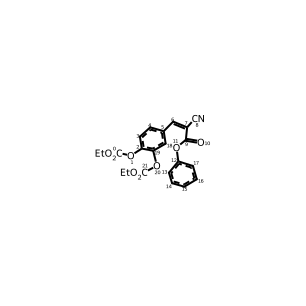 CCOC(=O)Oc1ccc(C=C(C#N)C(=O)Oc2ccccc2)cc1OC(=O)OCC